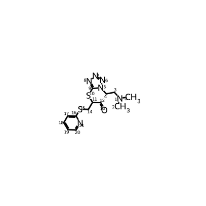 CN(C)CCn1nnnc1SC(C=O)CSc1ccccn1